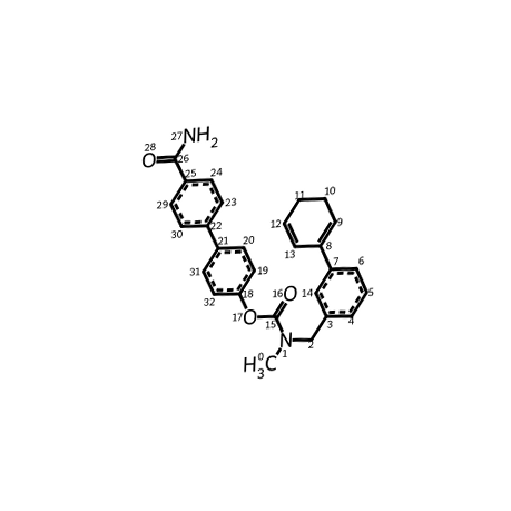 CN(Cc1cccc(C2=CCCC=C2)c1)C(=O)Oc1ccc(-c2ccc(C(N)=O)cc2)cc1